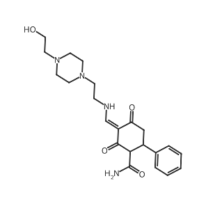 NC(=O)C1C(=O)C(=CNCCN2CCN(CCO)CC2)C(=O)CC1c1ccccc1